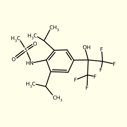 CC(C)c1cc(C(O)(C(F)(F)F)C(F)(F)F)cc(C(C)C)c1NS(C)(=O)=O